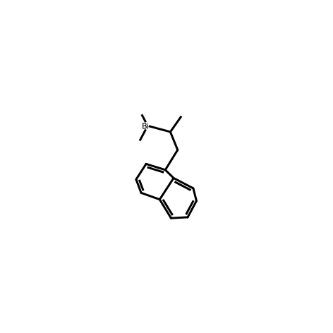 C[CH](Cc1cccc2ccccc12)[Bi]([CH3])[CH3]